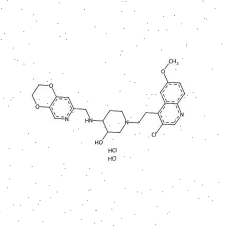 COc1ccc2ncc(Cl)c(CCN3CCC(NCc4cc5c(cn4)OCCO5)C(O)C3)c2c1.Cl.Cl